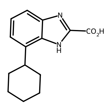 O=C(O)c1nc2cccc(C3CCCCC3)c2[nH]1